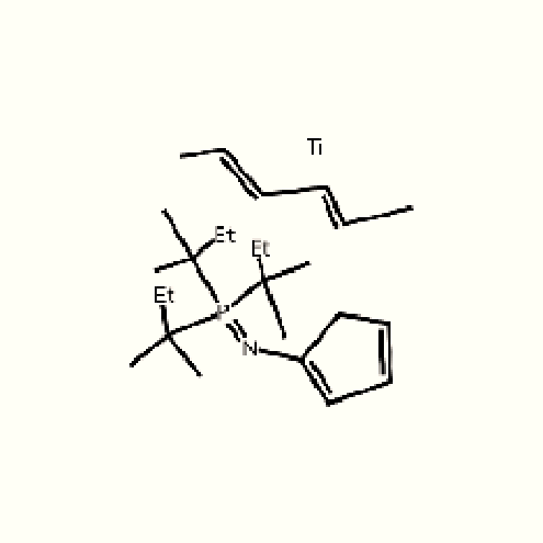 CC=CC=CC.CCC(C)(C)P(=NC1=CC=CC1)(C(C)(C)CC)C(C)(C)CC.[Ti]